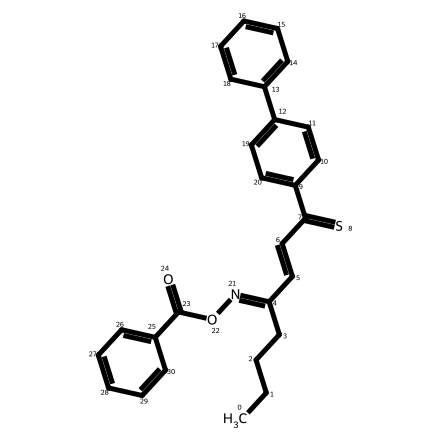 CCCCC(C=CC(=S)c1ccc(-c2ccccc2)cc1)=NOC(=O)c1ccccc1